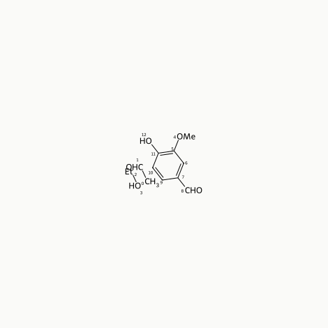 CC=O.CCO.COc1cc(C=O)ccc1O